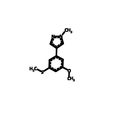 COc1cc(SC)cc(-c2cnn(C)c2)c1